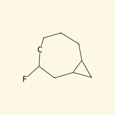 FC1CCCCC2CC2C1